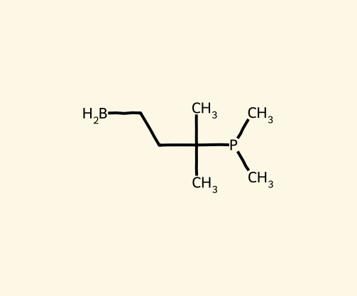 BCCC(C)(C)P(C)C